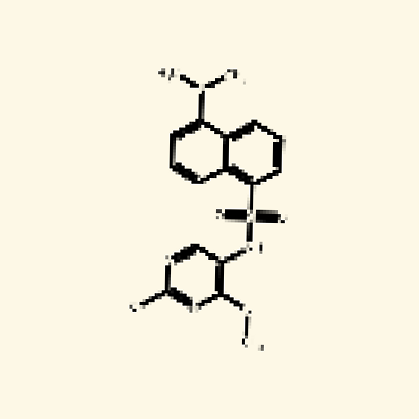 CSc1nc(Cl)ncc1NS(=O)(=O)c1cccc2c(N(C)C)cccc12